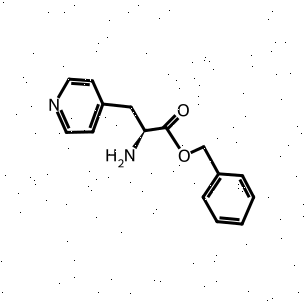 N[C@@H](Cc1ccncc1)C(=O)OCc1ccccc1